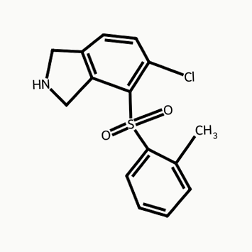 Cc1ccccc1S(=O)(=O)c1c(Cl)ccc2c1CNC2